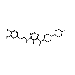 Cc1c(NCCc2ccc(F)c(F)c2)ncnc1C(=O)N1CCC(N2CCC(O)CC2)CC1